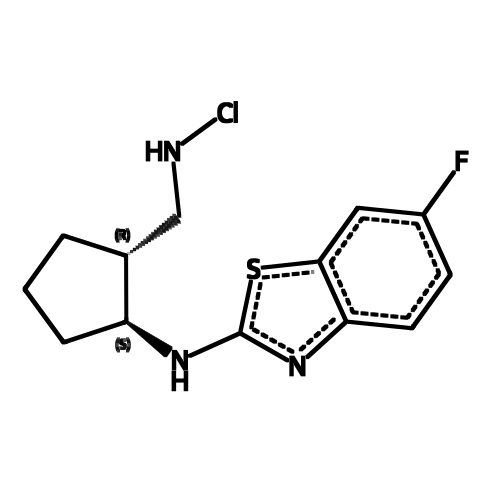 Fc1ccc2nc(N[C@H]3CCC[C@@H]3CNCl)sc2c1